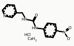 Cl.O=C(NCc1cccnc1)Nc1ccc([N+](=O)[O-])cc1.[CaH2]